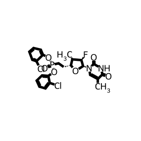 Cc1cn([C@@H]2O[C@H](CCP(=O)(Oc3ccccc3Cl)Oc3ccccc3Cl)[C@@H](C)[C@H]2F)c(=O)[nH]c1=O